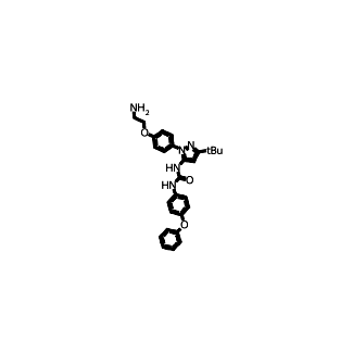 CC(C)(C)c1cc(NC(=O)Nc2ccc(Oc3ccccc3)cc2)n(-c2ccc(OCCN)cc2)n1